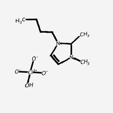 CCCCN1C=CN(C)C1C.[O-][Cl+3]([O-])([O-])O